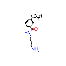 NCCCCNC(=O)c1cccc(C(=O)O)c1